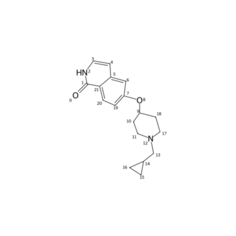 O=c1[nH]ccc2cc(OC3CCN(CC4CC4)CC3)ccc12